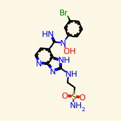 N=C(c1ccnc2nc(NCCS(N)(=O)=O)[nH]c12)N(O)c1cccc(Br)c1